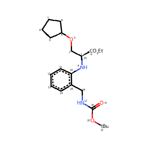 CCOC(=O)[C@H](COC1CCCC1)Nc1ccccc1CNC(=O)OC(C)(C)C